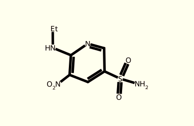 CCNc1ncc(S(N)(=O)=O)cc1[N+](=O)[O-]